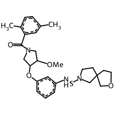 COC1CN(C(=O)c2cc(C)ccc2C)CC1Oc1cccc(NSN2CCC3(CCOC3)C2)c1